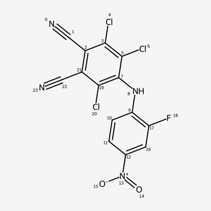 N#Cc1c(Cl)c(Cl)c(Nc2ccc([N+](=O)[O-])cc2F)c(Cl)c1C#N